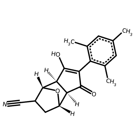 Cc1cc(C)c(C2=C(O)[C@H]3[C@@H](C2=O)[C@@H]2CC(C#N)[C@H]3O2)c(C)c1